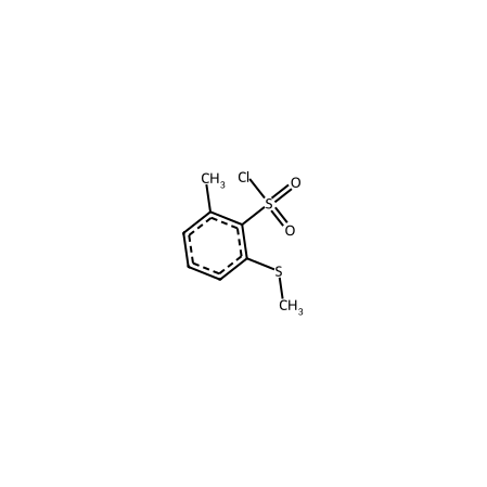 CSc1cccc(C)c1S(=O)(=O)Cl